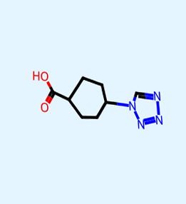 O=C(O)C1CCC(n2cnnn2)CC1